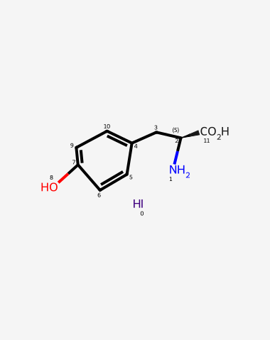 I.N[C@@H](Cc1ccc(O)cc1)C(=O)O